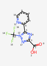 O=C(O)c1nc(-c2ccccn2)n(C(F)(F)F)n1